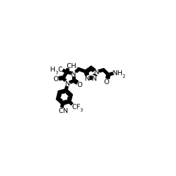 CC1(C)C(=O)N(c2ccc(C#N)c(C(F)(F)F)c2)C(=O)N1Cc1cn(CC(N)=O)nn1